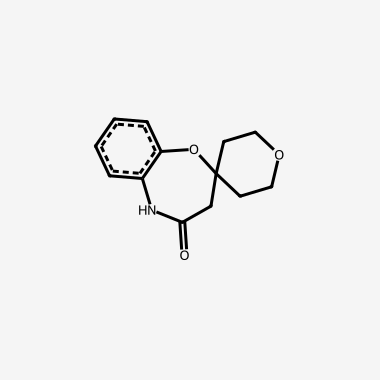 O=C1CC2(CCOCC2)Oc2ccccc2N1